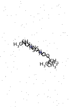 CCN(C)c1ccc(/N=N/c2nc3sc(/N=N/c4ccc(OCCC(C)CC(C)(C)C)cc4)cc3s2)cc1